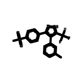 Cc1cccc(-c2c(-c3ccc(S(C)(=O)=O)cc3)n[nH]c2C(F)(F)F)c1